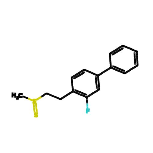 CS(=S)CCc1ccc(-c2ccccc2)cc1F